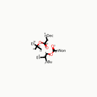 CCCCCCCCCC(=O)OCC(CC)CCCC.CCCCCCCCCCCC(=O)OC(C)(C)CC